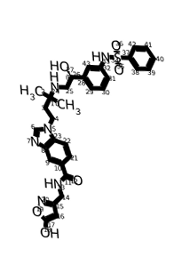 CC(C)(CCn1cnc2cc(C(=O)NCc3cc(O)on3)ccc21)NC[C@H](O)c1cccc(NS(=O)(=O)c2ccccc2)c1